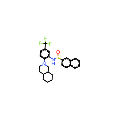 [O-][S+](Nc1cc(C(F)(F)F)ccc1N1CCC2CCCCC2C1)c1ccc2ccccc2c1